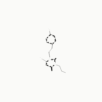 CCCn1c(=O)cc(N)n(CCc2ccc(N)cc2)c1=O